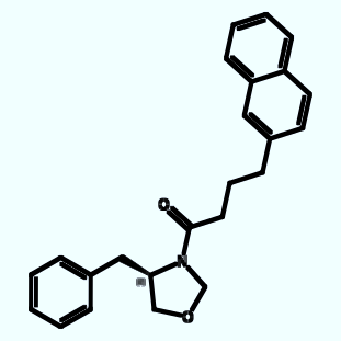 O=C(CCCc1ccc2ccccc2c1)N1COC[C@H]1Cc1ccccc1